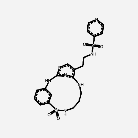 O=S1(=O)NCCCNc2nc(ncc2CCNS(=O)(=O)c2ccncc2)Nc2cccc1c2